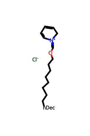 CCCCCCCCCCCCCCCCCCOC=[N+]1C=CC=CC1.[Cl-]